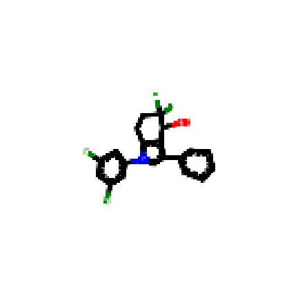 OC1c2c(-c3ccccc3)cn(-c3cc(F)cc(Cl)c3)c2CCC1(F)F